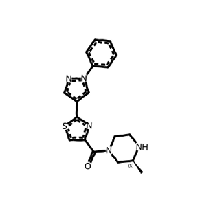 C[C@H]1CN(C(=O)c2csc(-c3cnn(-c4ccccc4)c3)n2)CCN1